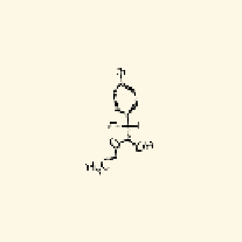 CCOC(O)C(F)(F)c1ccc(Br)cc1